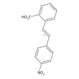 O=C(O)c1ccccc1/C=C/c1ccc([N+](=O)[O-])cc1